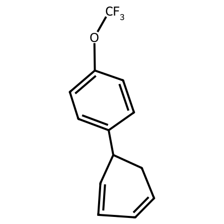 FC(F)(F)Oc1ccc(C2C=CC=CC2)cc1